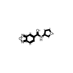 O=C(NC1CCOC1)c1ccc2nonc2c1